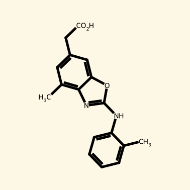 Cc1ccccc1Nc1nc2c(C)cc(CC(=O)O)cc2o1